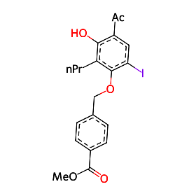 CCCc1c(O)c(C(C)=O)cc(I)c1OCc1ccc(C(=O)OC)cc1